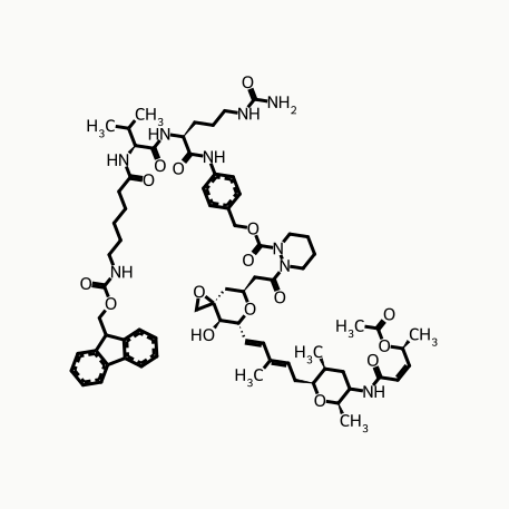 CC(=O)O[C@@H](C)/C=C\C(=O)NC1C[C@H](C)[C@H](C/C=C(C)/C=C/[C@H]2O[C@H](CC(=O)N3CCCCN3C(=O)OCc3ccc(NC(=O)[C@H](CCCNC(N)=O)NC(=O)[C@@H](NC(=O)CCCCCNC(=O)OCC4c5ccccc5-c5ccccc54)C(C)C)cc3)C[C@@]3(CO3)[C@@H]2O)O[C@@H]1C